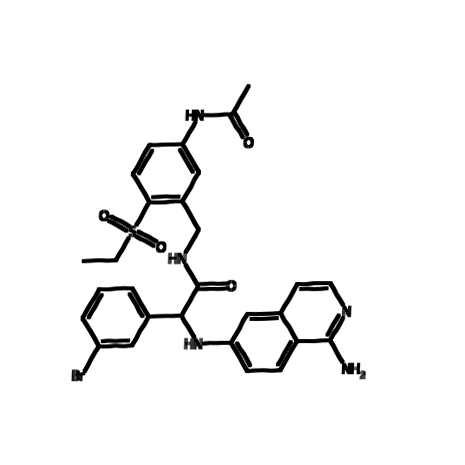 CCS(=O)(=O)c1ccc(NC(C)=O)cc1CNC(=O)C(Nc1ccc2c(N)nccc2c1)c1cccc(Br)c1